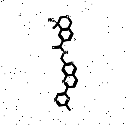 Cc1cncc(-c2ccc3cnc(CNC(=O)c4ccc5c(c4)[C@](C)(C#N)COC5)cc3n2)n1